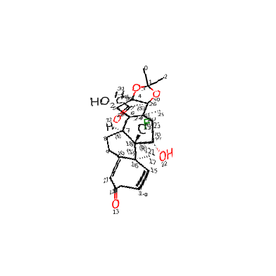 CC1(C)O[C@@H]2CC3[C@@H]4CCC5=CC(=O)C=C[C@]5(C)[C@@]4(CF)[C@@H](O)C[C@]3(C)[C@]2(C(=O)C(=O)O)O1